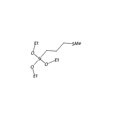 CCO[Si](CCCSC)(OCC)OCC